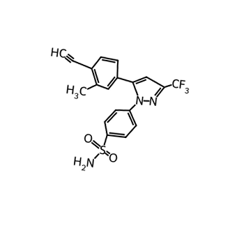 C#Cc1ccc(-c2cc(C(F)(F)F)nn2-c2ccc(S(N)(=O)=O)cc2)cc1C